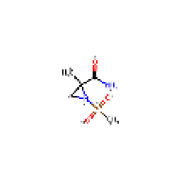 CC1(C(N)=O)CN1S(C)(=O)=O